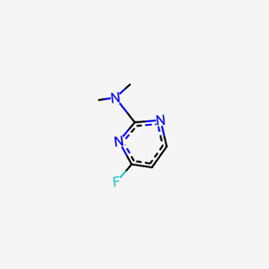 CN(C)c1nccc(F)n1